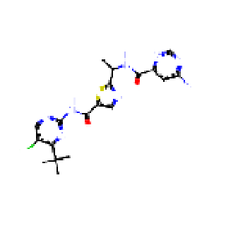 CC(NC(=O)c1cc(N)ncn1)c1ncc(C(=O)Nc2ncc(Cl)c(C(C)(C)C)n2)s1